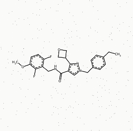 CCc1ccc(Cn2cc(C(=O)NCc3c(F)ccc(OC)c3F)c(C3COC3)n2)cc1